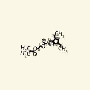 C=C(C)C(=O)OCCOC(=O)NCC1CC(CC)CC1CC